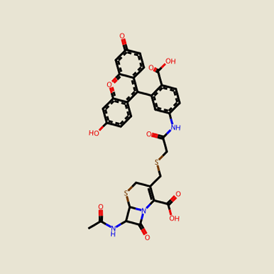 CC(=O)NC1C(=O)N2C(C(=O)O)=C(CSCC(=O)Nc3ccc(C(=O)O)c(-c4c5ccc(=O)cc-5oc5cc(O)ccc45)c3)CSC12